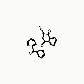 O=C(c1ccccc1)c1ccccc1.[N-]=[N+]=C1CC(=O)c2ccccc2C1=O